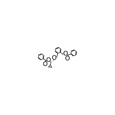 O=C(OCc1ccccc1COC[C@@H](OC(=O)c1ccccc1)C1CC1)c1ccccc1